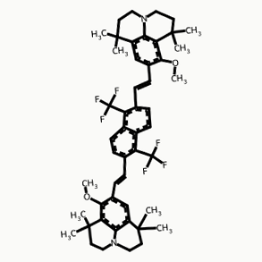 COc1c(C=Cc2ccc3c(C(F)(F)F)c(C=Cc4cc5c6c(c4OC)C(C)(C)CCN6CCC5(C)C)ccc3c2C(F)(F)F)cc2c3c1C(C)(C)CCN3CCC2(C)C